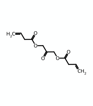 C=CCC(=O)OCC(=O)COC(=O)CC=C